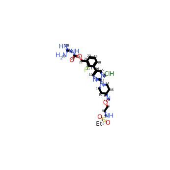 CCS(=O)(=O)NCCON=C1CCN(c2ncc(-c3cccc(COC(=O)NC(=N)N)c3F)cn2)CC1.Cl